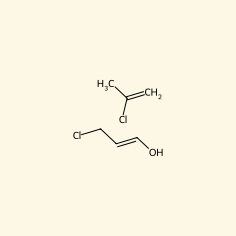 C=C(C)Cl.OC=CCCl